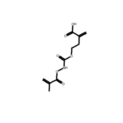 C=C(C)C(=O)ONC(=O)OCCC(=C)C(=O)O